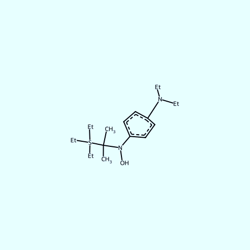 CCN(CC)c1ccc(N(O)C(C)(C)S(CC)(CC)CC)cc1